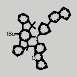 CC(C)(C)c1c2c(c3c4c1-c1ccccc1C4(C)c1c(ccc4c1oc1ccccc14)N3c1ccc(-c3ccc4ccccc4c3)cc1)C(C)(C)c1ccccc1-2